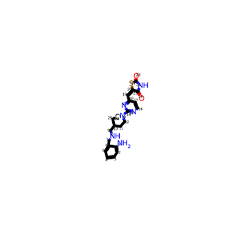 Nc1ccccc1CNCC1CCN(c2nccc(C=C3SC(=O)NC3=O)n2)CC1